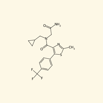 Cc1nc(C(=O)N(CC(N)=O)CC2CC2)c(-c2ccc(C(F)(F)F)cc2)s1